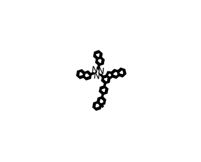 CC12C=CC=CC1=CC(c1ccc(-c3cc(-c4nc(-c5ccc6ccccc6c5)nc(-c5ccc6ccccc6c5)n4)c4c(c3)-c3cc5ccccc5cc3C4)cc1)=CC2